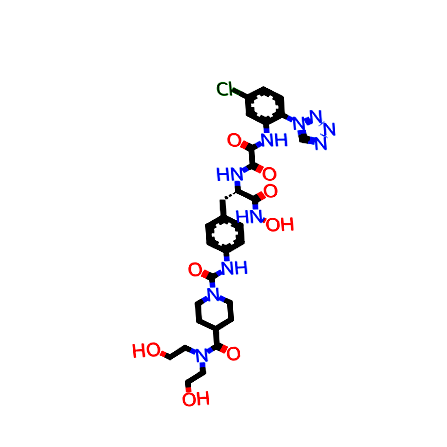 O=C(Nc1cc(Cl)ccc1-n1cnnn1)C(=O)N[C@@H](Cc1ccc(NC(=O)N2CCC(C(=O)N(CCO)CCO)CC2)cc1)C(=O)NO